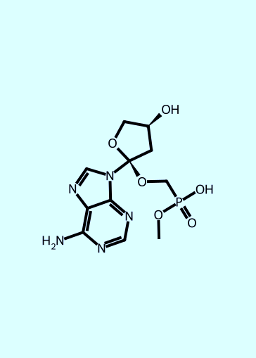 COP(=O)(O)CO[C@]1(n2cnc3c(N)ncnc32)C[C@H](O)CO1